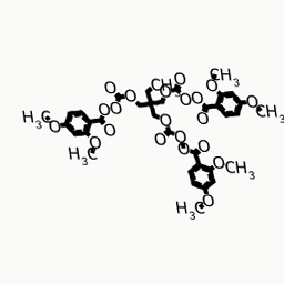 CCC(COC(=O)OOC(=O)c1ccc(OC)cc1OC)(COC(=O)OOC(=O)c1ccc(OC)cc1OC)COC(=O)OOC(=O)c1ccc(OC)cc1OC